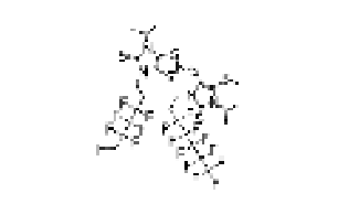 CSc1c(SN2Sc3c(n(C(C)C)c(=S)n3CCC(F)(F)C(F)(F)C(F)(F)CF)S2)n(CCC(F)(F)C(F)(F)C(F)(F)C(F)(F)C(F)(F)F)c(=S)n1C(C)C